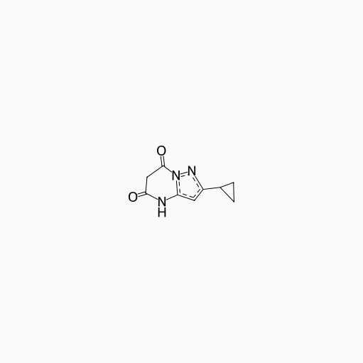 O=C1CC(=O)n2nc(C3CC3)cc2N1